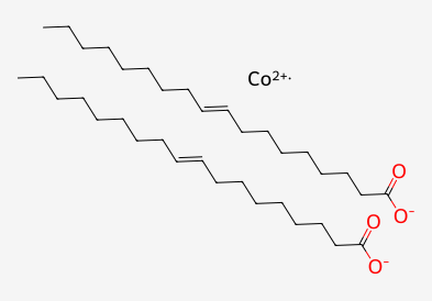 CCCCCCCCC=CCCCCCCCC(=O)[O-].CCCCCCCCC=CCCCCCCCC(=O)[O-].[Co+2]